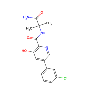 CC(C)(NC(=O)c1ncc(-c2cccc(Cl)c2)cc1O)C(N)=O